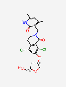 Cc1cc(C)c(CN2CCc3c(Cl)cc(O[C@H]4CO[C@H](CO)C4)c(Cl)c3C2=O)c(=O)[nH]1